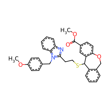 COC(=O)c1ccc2c(c1)C(SCCc1nc3ccccc3n1Cc1ccc(OC)cc1)c1ccccc1CO2